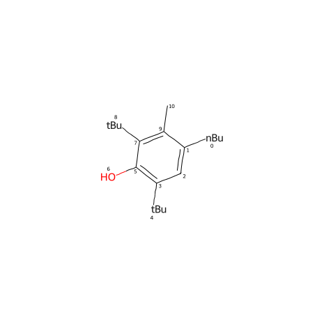 CCCCc1cc(C(C)(C)C)c(O)c(C(C)(C)C)c1C